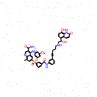 COc1cccc(Nc2c(C(N)=O)cnc3c(C)cc(S(=O)(=O)c4cccc(C(=O)Nc5cccc(C#CCCCNCC(O)c6ccc(O)c7[nH]c(=O)ccc67)c5)c4)cc23)c1